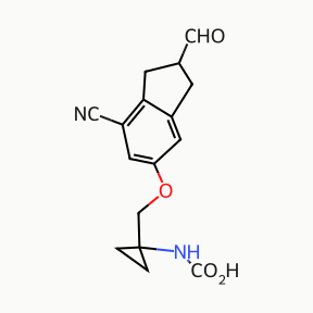 N#Cc1cc(OCC2(NC(=O)O)CC2)cc2c1CC(C=O)C2